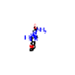 N[C@@H]1COCC12CCN(c1nc3[nH]nc(-c4ccc5c(c4)OC4(CCC4)CC5)c3c3nccn13)CC2